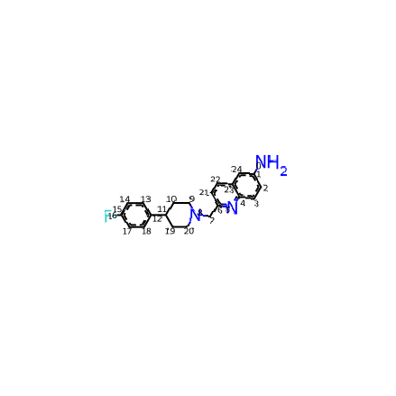 Nc1ccc2nc(CN3CCC(c4ccc(F)cc4)CC3)ccc2c1